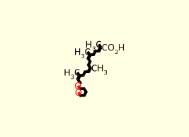 CC(=CCCC(C)=CCOC1CCCCO1)CCC=C(C)CCC=C(C)C(=O)O